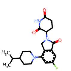 CC(C)C1CCN(c2cc(F)cc3c2CN(C2CCC(=O)NC2=O)C3=O)CC1